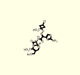 CC(=O)OCC1=C(C(=O)O)N2C(=O)[C@@H](NC(=O)C(=NOC3(C(=O)O)CC(Cl)C3)c3csc(N)n3)[C@H]2SC1